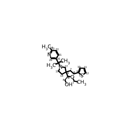 CCO[C@@H](CO)C1(CCc2cccs2)CCN(C(C)(C)c2ccc(C)nc2)C1